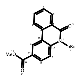 CCCCn1c(=O)c2ccccc2c2cc(C(=O)OC)ccc21